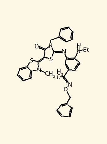 CCNc1ccc(C(C)=NOCc2ccccc2)cc1N=C1SC(=C2Sc3ccccc3N2C)C(=O)N1Cc1ccccc1